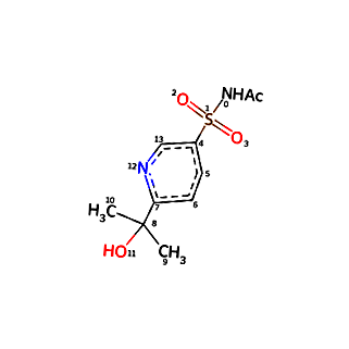 CC(=O)NS(=O)(=O)c1ccc(C(C)(C)O)nc1